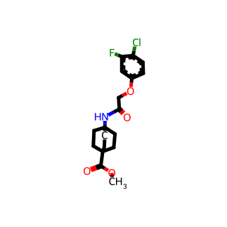 COC(=O)C12CCC(NC(=O)COc3ccc(Cl)c(F)c3)(CC1)CC2